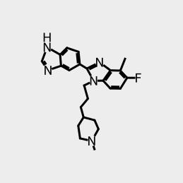 Cc1c(F)ccc2c1nc(-c1ccc3[nH]cnc3c1)n2CCCC1CCN(C)CC1